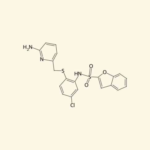 Nc1cccc(CSc2ccc(Cl)cc2NS(=O)(=O)c2cc3ccccc3o2)n1